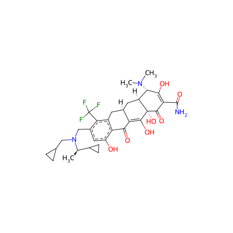 C[C@H](C1CC1)N(Cc1cc(O)c2c(c1C(F)(F)F)C[C@H]1C[C@H]3[C@H](N(C)C)C(O)=C(C(N)=O)C(=O)[C@@]3(O)C(O)=C1C2=O)CC1CC1